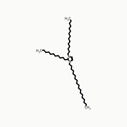 CCCCCCCCCCCCCCCCCCCN1C=CN(CCCCCCCCCCCCCCC)C1CCCCCCCCCCC